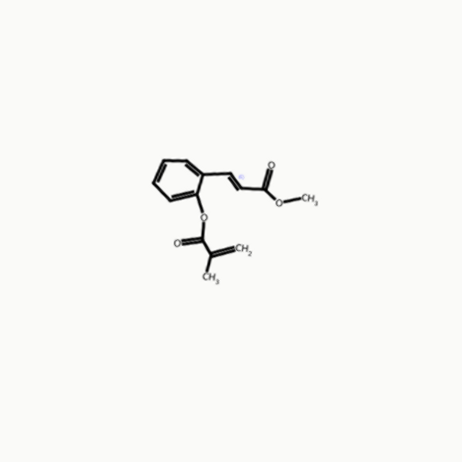 C=C(C)C(=O)Oc1ccccc1/C=C/C(=O)OC